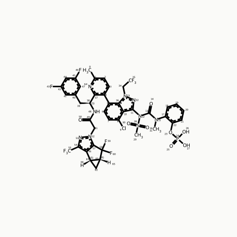 Cc1ccc(-c2ccc(Cl)c3c(N(C(=O)N(C)c4ccccc4OP(=O)(O)O)S(C)(=O)=O)nn(CC(F)(F)F)c23)c([C@H](Cc2cc(F)cc(F)c2)NC(=O)Cn2nc(C(F)(F)F)c3c2C(F)(F)[C@@H]2C[C@H]32)n1